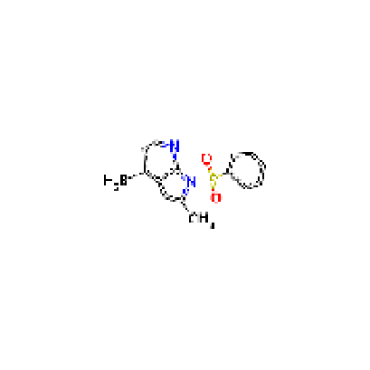 Bc1ccnc2c1cc(C)n2S(=O)(=O)c1ccccc1